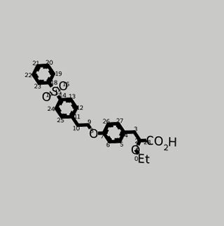 CCOC(Cc1ccc(OCCc2ccc(S(=O)(=O)c3ccccc3)cc2)cc1)C(=O)O